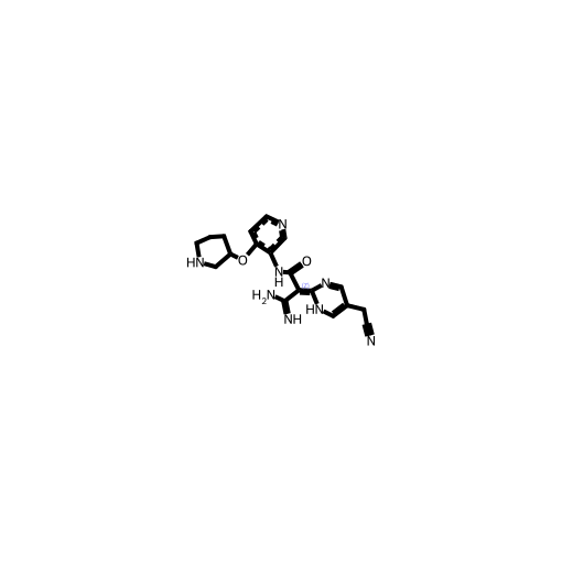 N#CCC1=CN/C(=C(\C(=N)N)C(=O)Nc2cnccc2OC2CCCNC2)N=C1